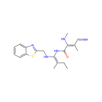 CC/C(C)=C(/NCc1nc2ccccc2s1)NC(=O)/C(NC)=C(\C)C=N